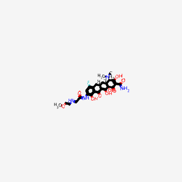 COCCNCC(=O)Nc1cc(F)c2c(c1O)C(=O)C1=C(O)[C@]3(O)C(=O)C(C(N)=O)=C(O)[C@@H](N(C)C)[C@@H]3C[C@@H]1C2